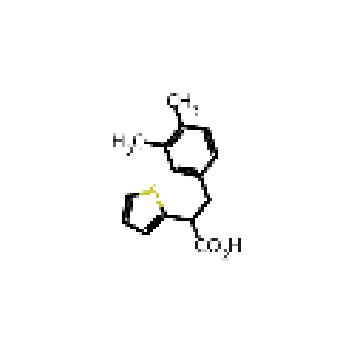 Cc1ccc(CC(C(=O)O)c2cccs2)cc1C